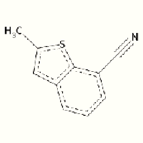 Cc1cc2cccc(C#N)c2s1